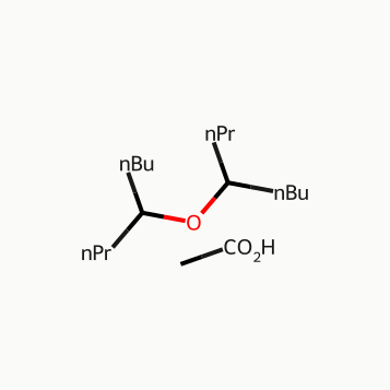 CC(=O)O.CCCCC(CCC)OC(CCC)CCCC